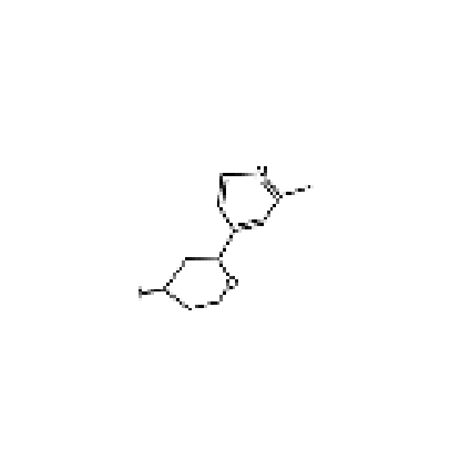 Cc1cc(C2CC(I)CCO2)ccn1